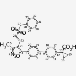 Cc1noc(-c2ccc(-c3ccc(C4(C(=O)O)CC4)cc3)cc2)c1/C=C/S(=O)(=O)Cc1ccccc1